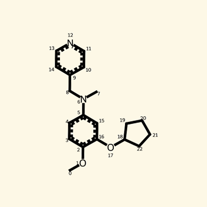 COc1ccc(N(C)Cc2ccncc2)cc1OC1CCCC1